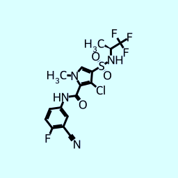 C[C@H](NS(=O)(=O)c1cn(C)c(C(=O)Nc2ccc(F)c(C#N)c2)c1Cl)C(F)(F)F